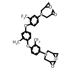 Cc1cc(Oc2ccc(N(CC3CO3)CC3CO3)cc2C(F)(F)F)ccc1Oc1ccc(N(CC2CO2)CC2CO2)cc1C(F)(F)F